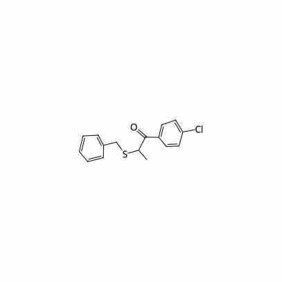 CC(SCc1ccccc1)C(=O)c1ccc(Cl)cc1